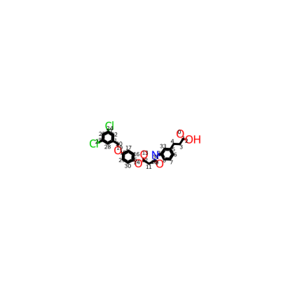 O=C(O)CCc1ccc2oc(CC(=O)Oc3ccc(OCc4cc(Cl)cc(Cl)c4)cc3)nc2c1